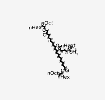 CCCCCCCCC(CCCCCC)COCC(=O)CCCCCCCCC(CCCCCCCCC(=O)OCC(CCCCCC)CCCCCCCC)N(CCCN(C)C)C(=O)CCCCCCC